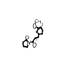 COc1cccc(/C=C/C(=O)N2CCCC2=O)c1